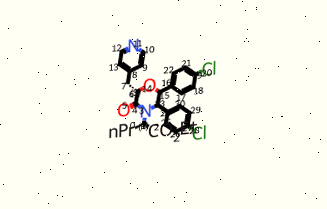 CCC[C@H](C(=O)OCC)N1C(=O)[C@H](Cc2ccncc2)OC(c2ccc(Cl)cc2)C1c1ccc(Cl)cc1